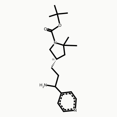 CC(C)(C)OC(=O)N1C[C@@H](CCC(N)c2ccncc2)CC1(C)C